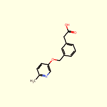 Cc1ccc(OCc2cccc(CC(=O)O)c2)cn1